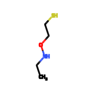 CCNOCCS